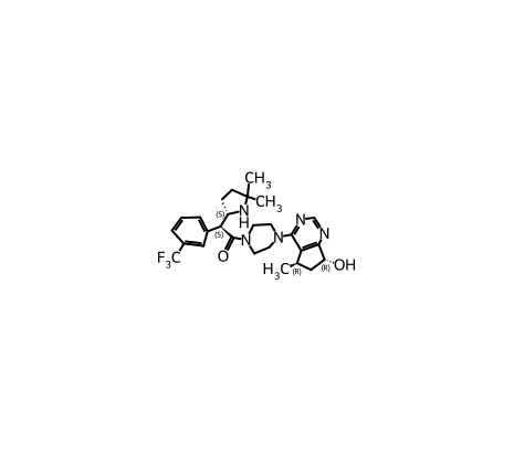 C[C@@H]1C[C@@H](O)c2ncnc(N3CCN(C(=O)[C@@H](c4cccc(C(F)(F)F)c4)[C@@H]4CCC(C)(C)N4)CC3)c21